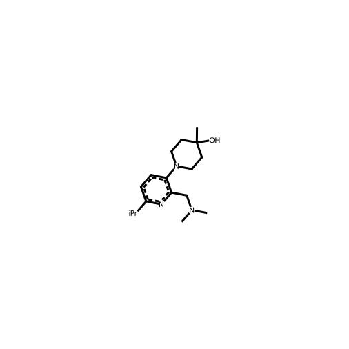 CC(C)c1ccc(N2CCC(C)(O)CC2)c(CN(C)C)n1